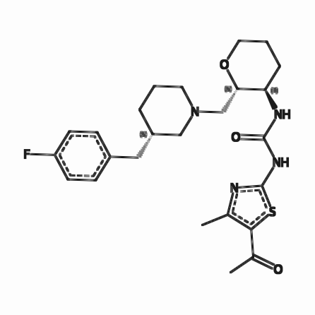 CC(=O)c1sc(NC(=O)N[C@@H]2CCCO[C@H]2CN2CCC[C@@H](Cc3ccc(F)cc3)C2)nc1C